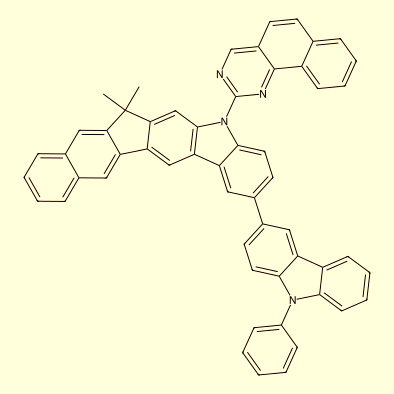 CC1(C)c2cc3ccccc3cc2-c2cc3c4cc(-c5ccc6c(c5)c5ccccc5n6-c5ccccc5)ccc4n(-c4ncc5ccc6ccccc6c5n4)c3cc21